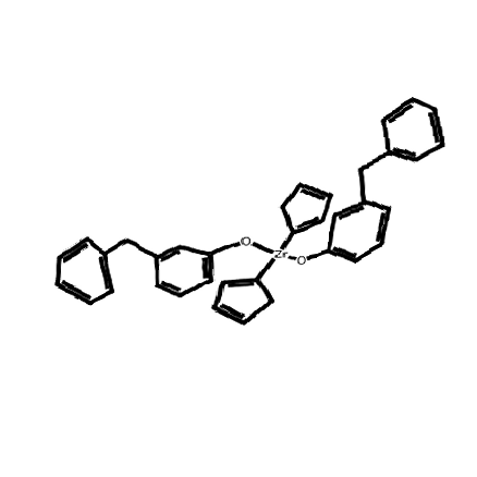 C1=CC[C]([Zr]([O]c2cccc(Cc3ccccc3)c2)([O]c2cccc(Cc3ccccc3)c2)[C]2=CC=CC2)=C1